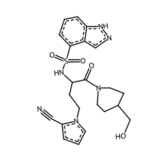 N#Cc1cccn1CCC(NS(=O)(=O)c1cccc2[nH]ncc12)C(=O)N1CCC(CO)CC1